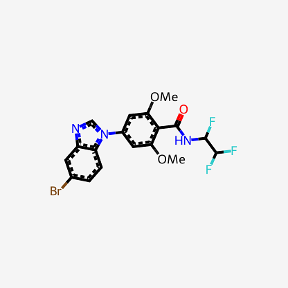 COc1cc(-n2cnc3cc(Br)ccc32)cc(OC)c1C(=O)NC(F)C(F)F